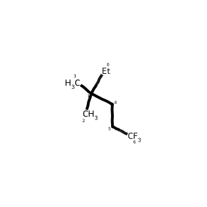 CCC(C)(C)CCC(F)(F)F